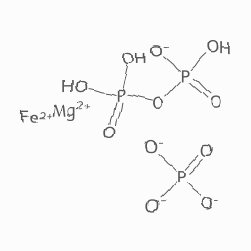 O=P([O-])(O)OP(=O)(O)O.O=P([O-])([O-])[O-].[Fe+2].[Mg+2]